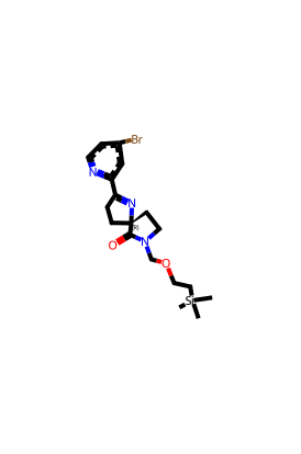 C[Si](C)(C)CCOCN1CC[C@]2(CCC(c3cc(Br)ccn3)=N2)C1=O